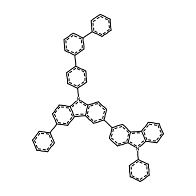 c1ccc(-c2cccc(-c3ccc(-n4c5ccc(-c6ccccc6)cc5c5cc(-c6ccc7c(c6)c6ccccc6n7-c6ccccc6)ccc54)cc3)c2)cc1